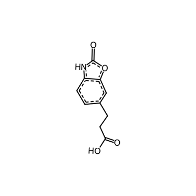 O=C(O)CCc1ccc2[nH]c(=O)oc2c1